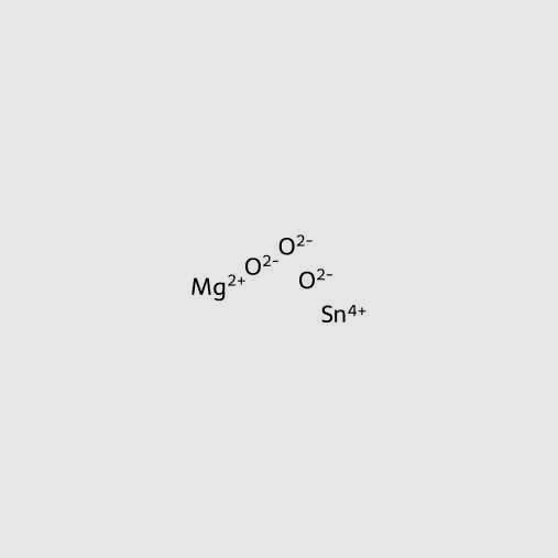 [Mg+2].[O-2].[O-2].[O-2].[Sn+4]